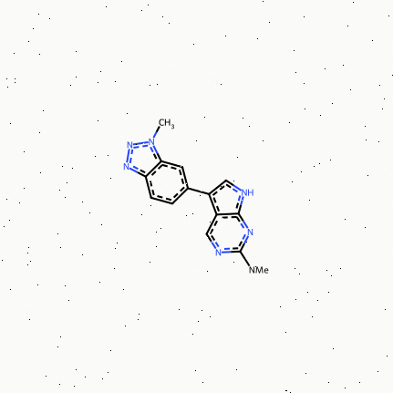 CNc1ncc2c(-c3ccc4nnn(C)c4c3)c[nH]c2n1